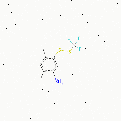 Cc1cc(C)c(SSC(F)(F)F)cc1N